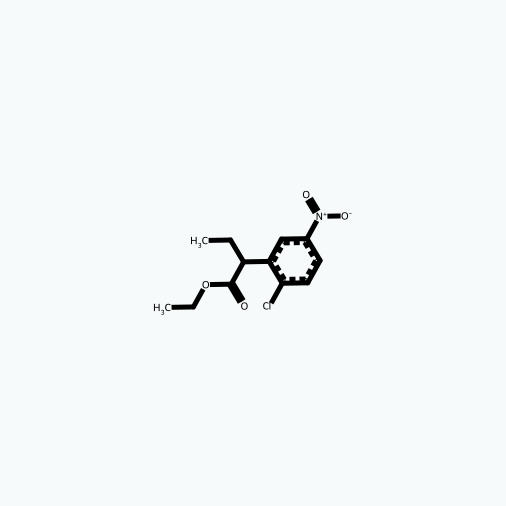 CCOC(=O)C(CC)c1cc([N+](=O)[O-])ccc1Cl